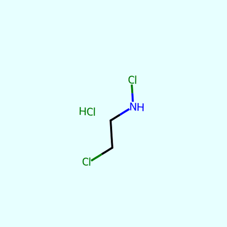 Cl.ClCCNCl